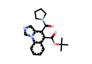 CC(C)(C)OC(=O)c1c(C(=O)N2CCCC2)c2cncn2c2ccccc12